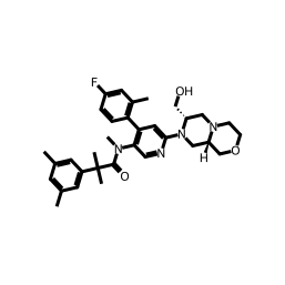 Cc1cc(C)cc(C(C)(C)C(=O)N(C)c2cnc(N3C[C@H]4COCCN4C[C@H]3CO)cc2-c2ccc(F)cc2C)c1